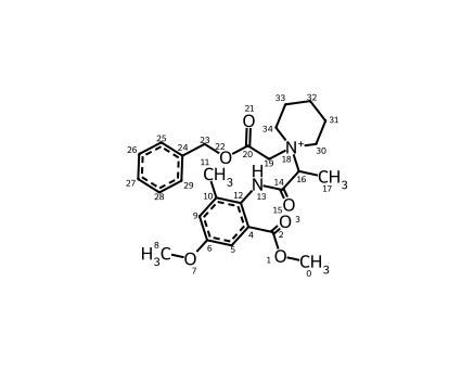 COC(=O)c1cc(OC)cc(C)c1NC(=O)C(C)[N+]1(CC(=O)OCc2ccccc2)CCCCC1